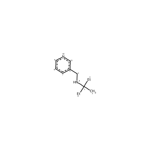 CCC(C)(CC)NCc1cccnc1